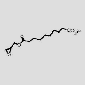 O=C(O)CCCCCCCCC(=O)OCC1CO1